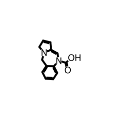 O=C(O)N1C=C2C=CCN2Cc2ccccc21